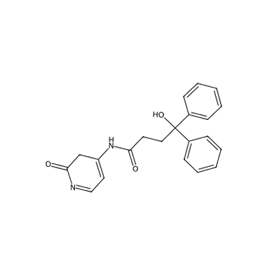 O=C1CC(NC(=O)CCC(O)(c2ccccc2)c2ccccc2)=CC=N1